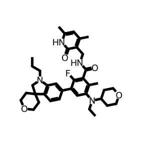 CCCN1CC2(CCOCC2)c2ccc(-c3cc(N(CC)C4CCOCC4)c(C)c(C(=O)NCc4c(C)cc(C)[nH]c4=O)c3F)cc21